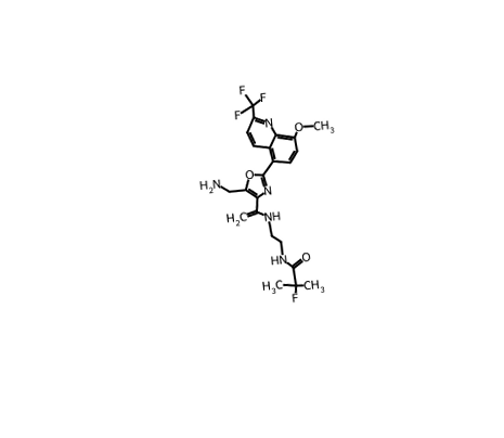 C=C(NCCNC(=O)C(C)(C)F)c1nc(-c2ccc(OC)c3nc(C(F)(F)F)ccc23)oc1CN